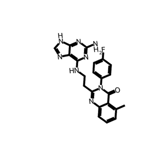 Cc1cccc2nc(CCNc3nc(N)nc4[nH]cnc34)n(-c3ccc(F)cc3)c(=O)c12